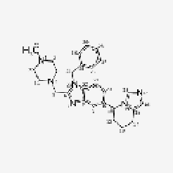 CN1CCN(Cc2nc3cc(C4CCCc5cncn54)ccc3n2Cc2ccccc2)CC1